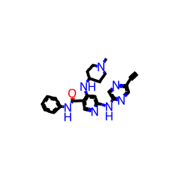 C#Cc1cnc(Nc2cc(NC3CCN(C)CC3)c(C(=O)Nc3ccccc3)cn2)cn1